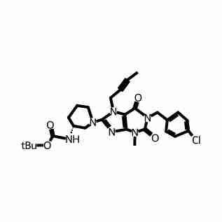 CC#CCn1c(N2CCC[C@@H](NC(=O)OC(C)(C)C)C2)nc2c1c(=O)n(Cc1ccc(Cl)cc1)c(=O)n2C